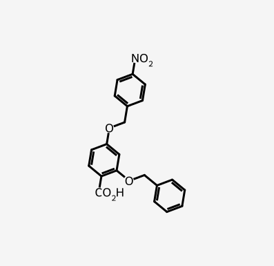 O=C(O)c1ccc(OCc2ccc([N+](=O)[O-])cc2)cc1OCc1ccccc1